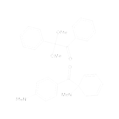 CNc1ccc(C(=O)C2(NC)C=CC=CC2)cc1.COC(OC)(C(=O)c1ccccc1)c1ccccc1